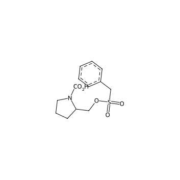 O=C(O)N1CCCC1COS(=O)(=O)Cc1ccccc1